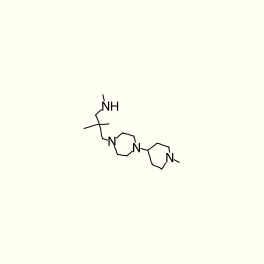 CNCC(C)(C)CN1CCN(C2CCN(C)CC2)CC1